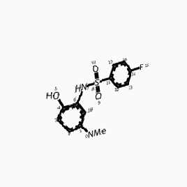 CNc1ccc(O)c(NS(=O)(=O)c2ccc(F)cc2)c1